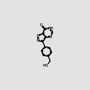 O=c1[nH]cnc2c(-c3ccc(CO)cc3)nsc12